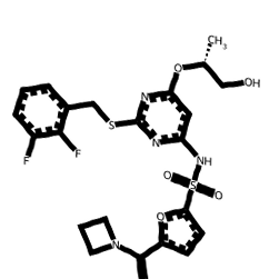 C[C@H](CO)Oc1cc(NS(=O)(=O)c2ccc(C(=O)N3CCC3)o2)nc(SCc2cccc(F)c2F)n1